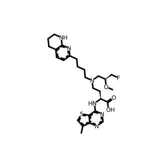 CO[C@H](CF)CN(CCCCc1ccc2c(n1)NCCC2)CC[C@H](Nc1ncnc2c(C)csc12)C(=O)O